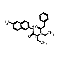 CC[C@@H](C(=O)Nc1ccc2cc(N)ccc2c1)N(CC)C(=O)Cc1ccccc1